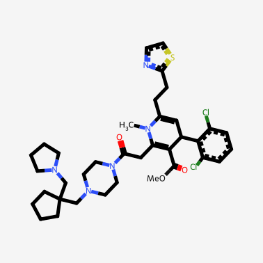 COC(=O)C1=C(CC(=O)N2CCN(CC3(CN4CCCC4)CCCC3)CC2)N(C)C(CCc2nccs2)=CC1c1c(Cl)cccc1Cl